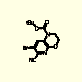 CC(C)(C)OC(=O)N1CCOc2nc(C#N)c(Br)cc21